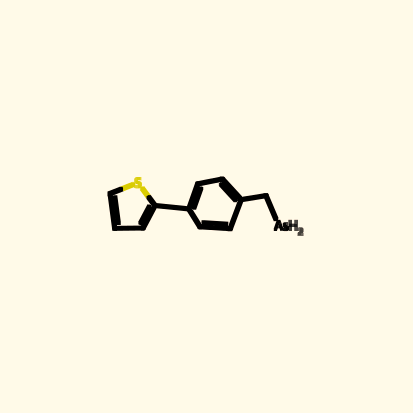 [AsH2]Cc1ccc(-c2cccs2)cc1